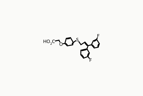 O=C(O)COc1ccc(SCC=C(c2cccc(F)c2)c2cccc(F)c2)cc1